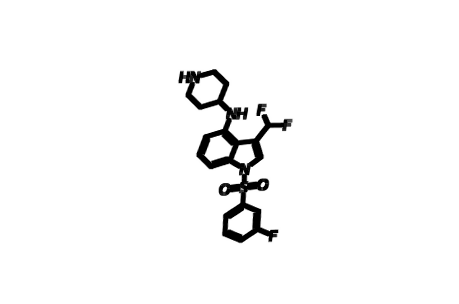 O=S(=O)(c1cccc(F)c1)n1cc(C(F)F)c2c(NC3CCNCC3)cccc21